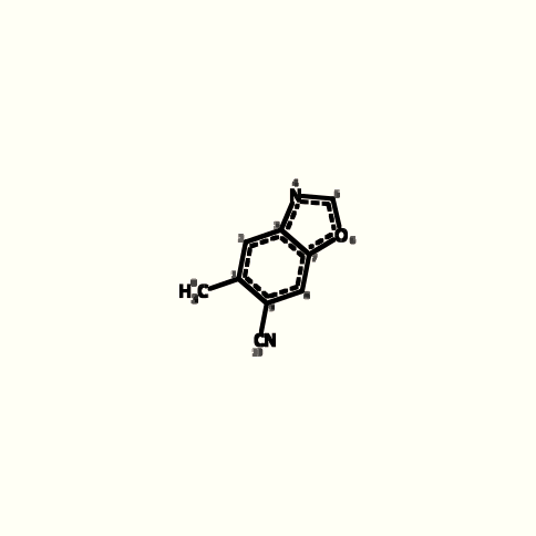 Cc1cc2ncoc2cc1C#N